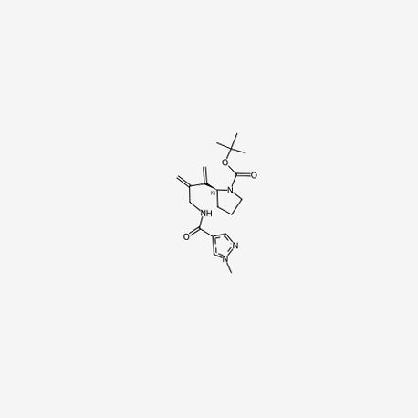 C=C(CNC(=O)c1cnn(C)c1)C(=C)[C@@H]1CCCN1C(=O)OC(C)(C)C